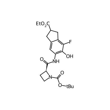 CCOC(=O)C1Cc2cc(NC(=O)[C@@H]3CCN3C(=O)OC(C)(C)C)c(O)c(F)c2C1